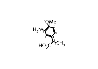 COc1ccc(C(C)C(=O)O)cc1N